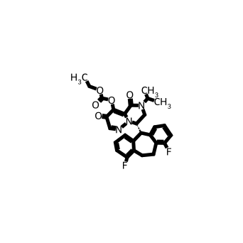 CCOC(=O)Oc1c2n(ncc1=O)[C@@H](C1c3cccc(F)c3CCc3c(F)cccc31)CN(C(C)C)C2=O